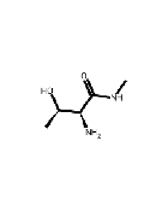 CNC(=O)[C@@H](N)[C@@H](C)O